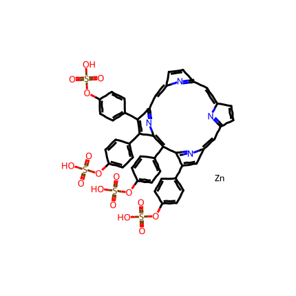 O=S(=O)(O)Oc1ccc(C2=CC3=CC4=NC(=CC5=NC(=CC6=NC(=C(c7ccc(OS(=O)(=O)O)cc7)C2=N3)C(c2ccc(OS(=O)(=O)O)cc2)=C6c2ccc(OS(=O)(=O)O)cc2)C=C5)C=C4)cc1.[Zn]